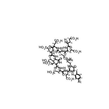 COCCNC(=O)[C@H](Cc1ccc(C(C)=O)cc1)NC(=O)[C@@H](CCC(=O)O)NC(=O)[C@@H](CCC(=O)O)NC(=O)[C@@H](CCC(=O)O)NC(=O)[C@@H](CCC(=O)O)NC(=O)[C@@H](CCC(=O)O)NC(=O)[C@@H](CCC(=O)O)NC(=O)[C@@H](CCC(=O)O)NC(=O)[C@@H](CCC(=O)O)NC(=O)[C@H](N)CCC(=O)O